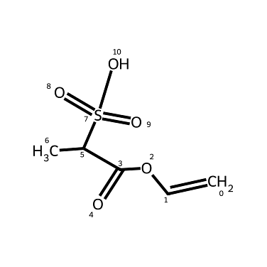 C=COC(=O)C(C)S(=O)(=O)O